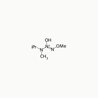 CO/N=[N+](\O)N(C)C(C)C